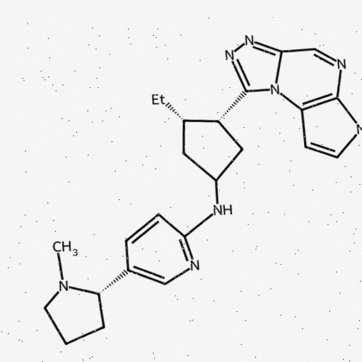 CC[C@H]1CC(Nc2ccc([C@@H]3CCCN3C)cn2)C[C@H]1c1nnc2cnc3[nH]ccc3n12